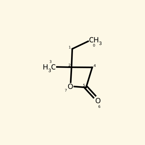 CCC1(C)CC(=O)O1